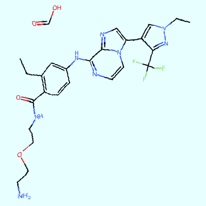 CCc1cc(Nc2nccn3c(-c4cn(CC)nc4C(F)(F)F)cnc23)ccc1C(=O)NCCOCCN.O=CO